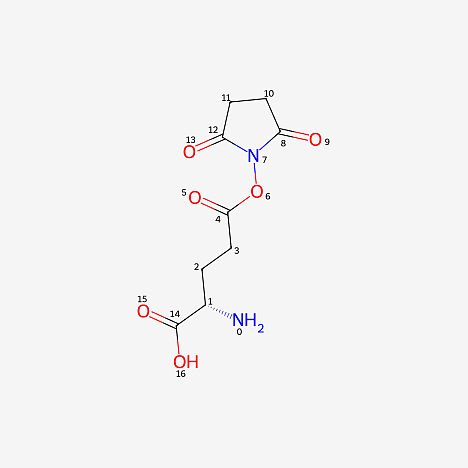 N[C@@H](CCC(=O)ON1C(=O)CCC1=O)C(=O)O